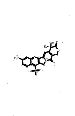 CC[C@@]1(O)C(=O)OCc2c1cc1n(c2=O)Cc2c-1nc1cc(N)ccc1c2S(C)(=O)=O